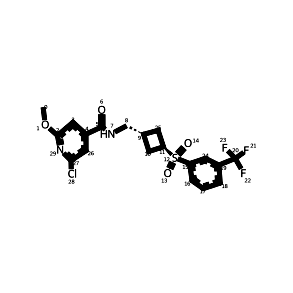 COc1cc(C(=O)NC[C@H]2C[C@H](S(=O)(=O)c3cccc(C(F)(F)F)c3)C2)cc(Cl)n1